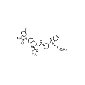 COCCCn1c([C@@H]2CCCN(C(=O)C[C@@H](Cc3ccc(-n4c(=O)[nH]c5ccc(F)cc54)cc3)NC(=O)OC(C)(C)C)C2)nc2ccccc21